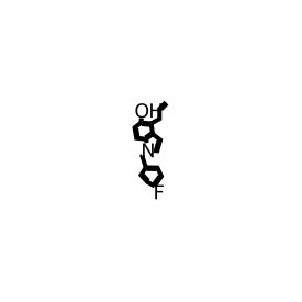 C=CCc1c(O)ccc2c1ccn2Cc1ccc(F)cc1